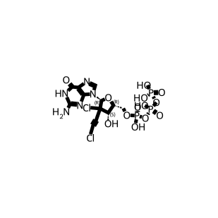 Nc1nc2c(ncn2[C@@H]2O[C@H](COP(=O)(O)OP(=O)(O)OP(=O)(O)O)[C@H](O)C2(Cl)C#CCl)c(=O)[nH]1